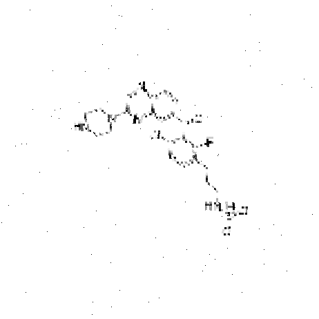 O=C(c1ccc2ncc(N3CCNCC3)nc2c1)c1c(Cl)ccc(CCCN[SH](=O)=O)c1F